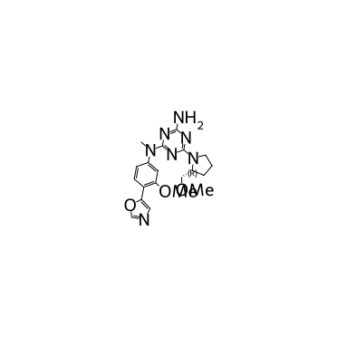 COC[C@H]1CCCN1c1nc(N)nc(N(C)c2ccc(-c3cnco3)c(OC)c2)n1